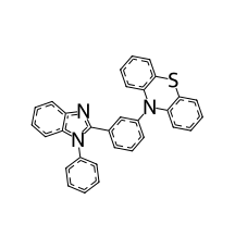 c1ccc(-n2c(-c3cccc(N4c5ccccc5Sc5ccccc54)c3)nc3ccccc32)cc1